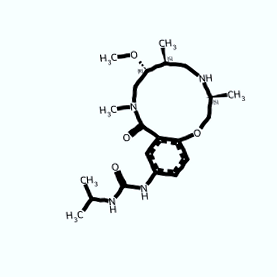 CO[C@H]1CN(C)C(=O)c2cc(NC(=O)NC(C)C)ccc2OC[C@H](C)NC[C@@H]1C